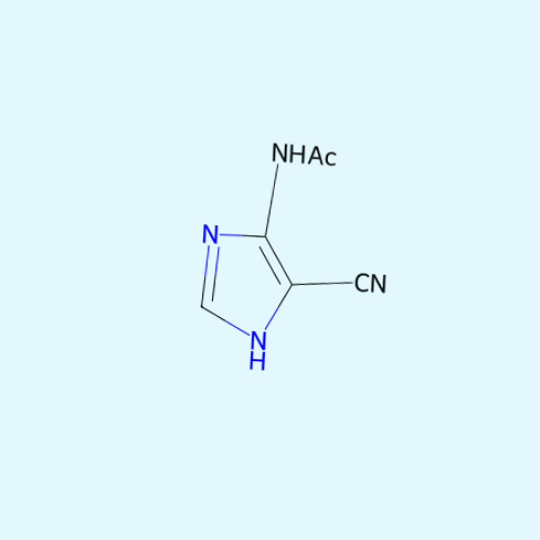 CC(=O)Nc1nc[nH]c1C#N